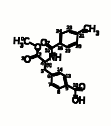 COC(=O)[C@H](Cc1ccc(C(=O)O)cc1)NC(=O)c1ccc(C)cc1